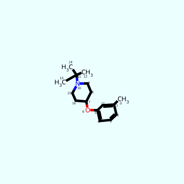 Cc1cccc(OC2CCN(C(C)(C)C)CC2)c1